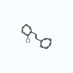 Clc1ccccc1/C=C/c1[c]cccc1